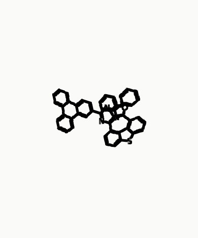 c1ccc(-c2nc(-c3ccc4c5ccccc5c5ccccc5c4c3)nc(-c3cccc4sc5cccc(-c6nc7ccccc7o6)c5c34)n2)cc1